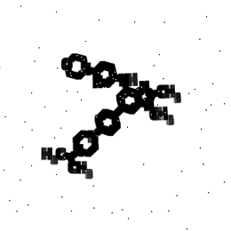 Cc1nc2c(Nc3ccc(N4CCOCC4)nc3)cc(-c3ccc(N4CCN(C(C)C)CC4)cc3)cc2n1C